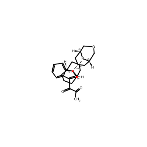 CC(=O)C(=O)c1cn([C@H]2C[C@H]3COC[C@@H](C2)N3[C@H]2C[C@@H]3CCC[C@@H](C3)C2)c2ccccc12